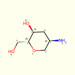 N[C@H]1[CH]O[C@H](CO)[C@@H](O)C1